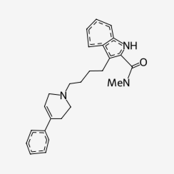 CNC(=O)c1[nH]c2ccccc2c1CCCCN1CC=C(c2ccccc2)CC1